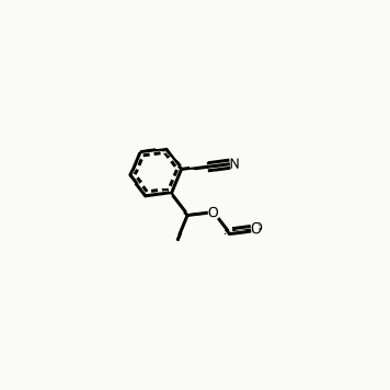 CC(O[C]=O)c1ccccc1C#N